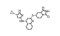 O=c1[nH][nH]c2cc(Sc3cc(Nc4cc(C5CC5)[nH]n4)c4ccccc4n3)ccc12